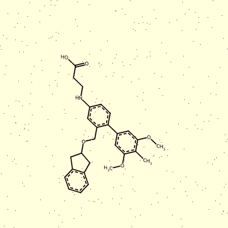 COc1cc(-c2ccc(NCCC(=O)O)cc2COC2Cc3ccccc3C2)cc(OC)c1C